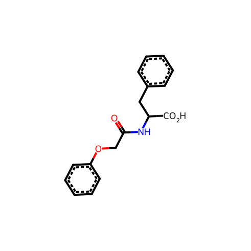 O=C(COc1ccccc1)NC(Cc1ccccc1)C(=O)O